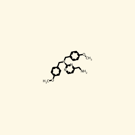 COc1ccc(CN(Cc2ccc(OC)cc2)c2nccc(CN)n2)cc1